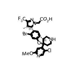 COc1cc([C@@]2(Oc3ccc([C@@H]4[C@H](C)C(C(F)(F)F)=NN4CC(=O)O)c(Br)c3)CCNC[C@H]2C)c(Cl)cn1